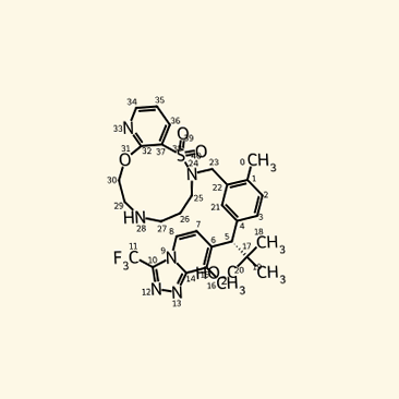 Cc1ccc([C@@H](c2ccn3c(C(F)(F)F)nnc3c2C)C(C)(C)C(=O)O)cc1CN1CCCNCCOc2ncccc2S1(=O)=O